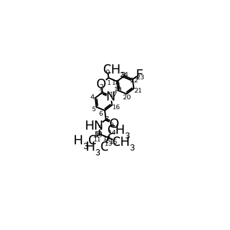 CC(Oc1ccc(C(=O)N[C@H](C)C(C)(C)C)cn1)c1cccc(F)c1